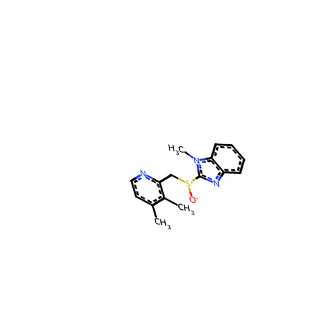 Cc1ccnc(C[S+]([O-])c2nc3ccccc3n2C)c1C